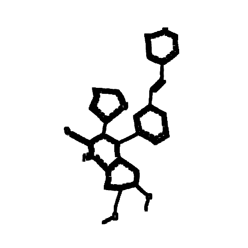 COc1cc2[nH]c(=O)c(-c3cccs3)c(-c3cccc(/C=C/c4ccncc4)c3)c2cc1OC